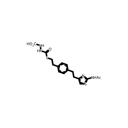 CC(=O)Nc1nc(CCc2ccc(CCSC(=O)NNC(=O)O)cc2)cs1